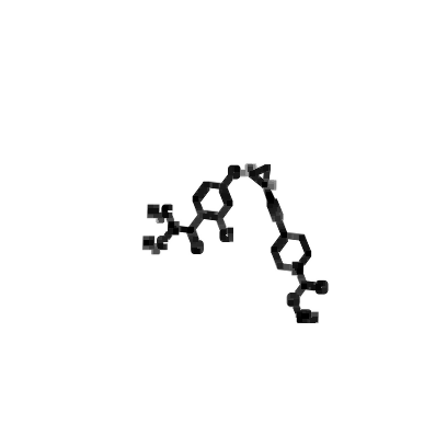 CN(C)C(=O)c1ccc(O[C@@H]2C[C@H]2C#CC2=CCN(C(=O)OC(C)(C)C)CC2)cc1Cl